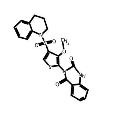 COc1c(S(=O)(=O)N2CCCc3ccccc32)csc1-n1c(=O)[nH]c2ccccc2c1=O